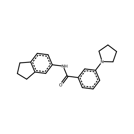 O=C(Nc1ccc2c(c1)CCC2)c1cccc(N2CCCC2)c1